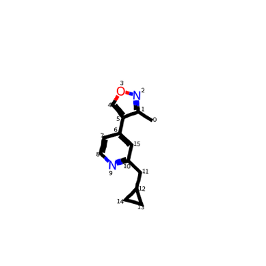 Cc1nocc1-c1ccnc(CC2CC2)c1